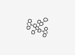 c1ccc(-c2ccc(-c3c4ccc(N5c6ccccc6Sc6ccccc65)cc4c(-c4ccccc4)c4ccc(N5c6ccccc6Sc6ccccc65)cc34)c3ccccc23)cc1